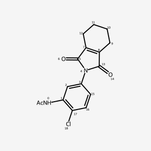 CC(=O)Nc1cc(N2C(=O)C3=C(CCCC3)C2=O)ccc1Cl